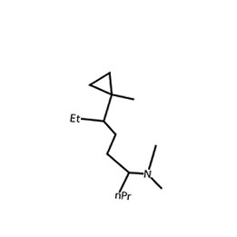 CCCC(CCC(CC)C1(C)CC1)N(C)C